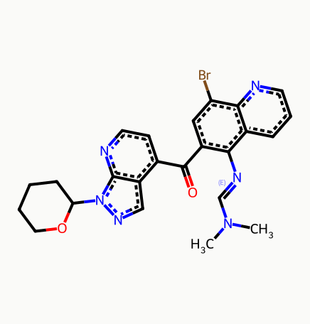 CN(C)/C=N/c1c(C(=O)c2ccnc3c2cnn3C2CCCCO2)cc(Br)c2ncccc12